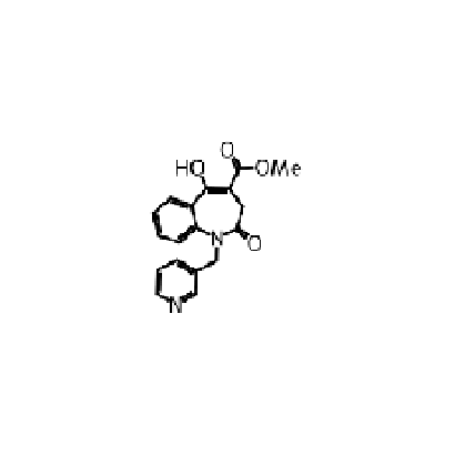 COC(=O)C1=C(O)c2ccccc2N(Cc2cccnc2)C(=O)C1